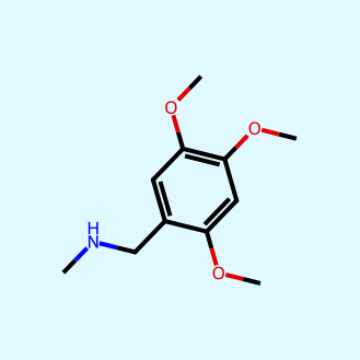 CNCc1cc(OC)c(OC)cc1OC